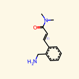 CN(C)C(=O)/C=C/c1ccccc1CN